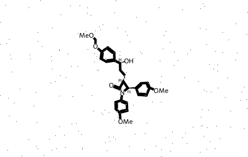 COCOc1ccc([C@H](O)CC[C@H]2C(=O)N(c3ccc(OC)cc3)[C@@H]2c2ccc(OC)cc2)cc1